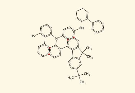 CC(C)(C)c1ccc2c(c1)C(C)(C)c1cccc(-c3ccccc3N(c3ccc(NC4=CCCC=C4c4ccccc4)cc3)c3cccc(S)c3-c3ccccc3)c1-2